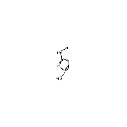 [N]Nc1nc(O)c[nH]1